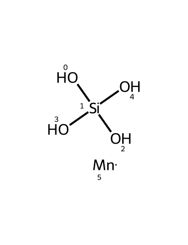 O[Si](O)(O)O.[Mn]